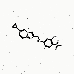 CS(=O)(=O)c1ccc(NCc2cn3cc(C4CC4)ccc3n2)cc1[N+](=O)[O-]